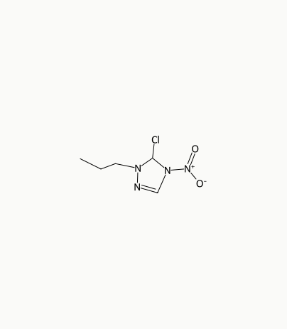 CCCN1N=CN([N+](=O)[O-])C1Cl